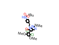 CNc1ncc2cc(-c3c(Cl)c(OC)cc(OC)c3Cl)c(=O)n(CCc3ccc(NC(=O)OC(C)(C)C)cc3)c2n1